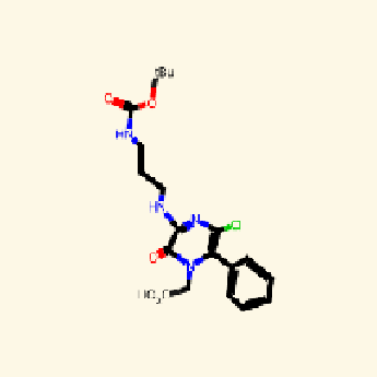 CC(C)(C)OC(=O)NCCCNc1nc(Cl)c(-c2ccccc2)n(CC(=O)O)c1=O